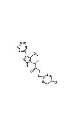 O=C(CCc1ccc(Cl)cc1)N1CCOc2c(-c3ccnnc3)n[nH]c21